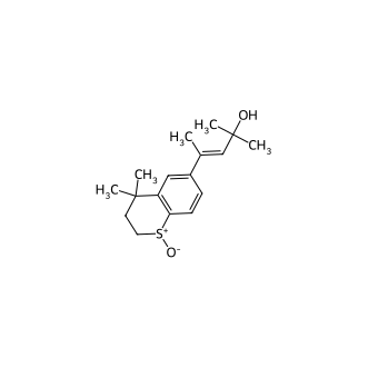 C/C(=C\C(C)(C)O)c1ccc2c(c1)C(C)(C)CC[S+]2[O-]